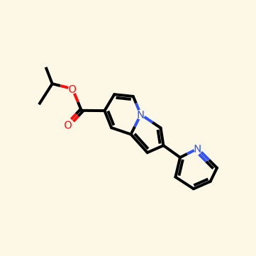 CC(C)OC(=O)c1ccn2cc(-c3ccccn3)cc2c1